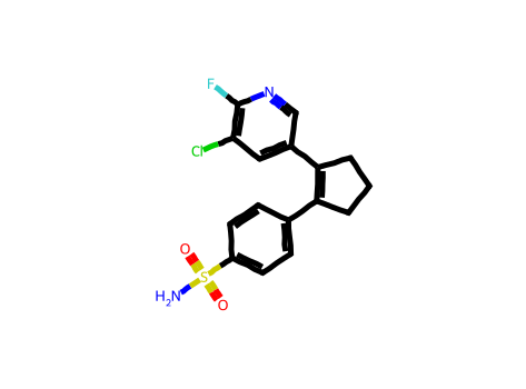 NS(=O)(=O)c1ccc(C2=C(c3cnc(F)c(Cl)c3)CCC2)cc1